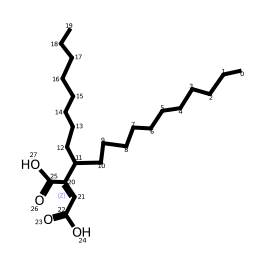 CCCCCCCCCCCC(CCCCCCCC)/C(=C/C(=O)O)C(=O)O